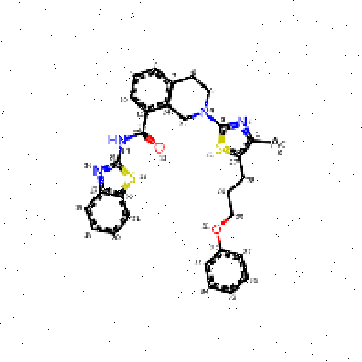 CC(=O)c1nc(N2CCc3cccc(C(=O)Nc4nc5ccccc5s4)c3C2)sc1CCCOc1ccccc1